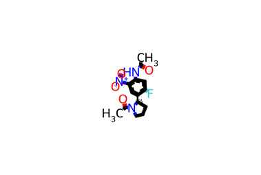 CC(=O)Nc1cc(F)c([C@H]2CCCN2C(C)=O)cc1[N+](=O)[O-]